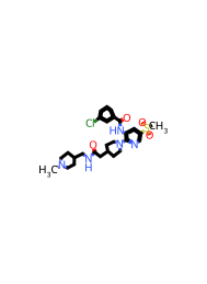 CN1CCC(CNC(=O)CC2CCN(c3ncc(S(C)(=O)=O)cc3NC(=O)c3cccc(Cl)c3)CC2)CC1